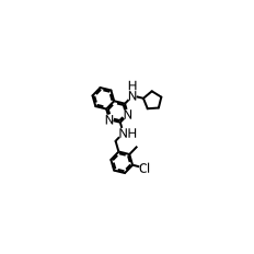 Cc1c(Cl)cccc1CNc1nc(NC2CCCC2)c2ccccc2n1